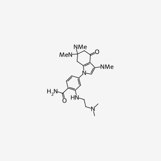 CNc1cn(-c2ccc(C(N)=O)c(NCCN(C)C)c2)c2c1C(=O)CC(NC)(NC)C2